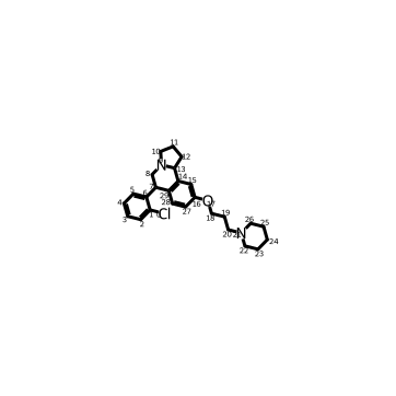 Clc1ccccc1C1CN2CCCC2c2cc(OCCCN3CCCCC3)ccc21